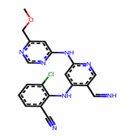 COCc1cc(Nc2cc(Nc3c(Cl)cccc3C#N)c(C=N)cn2)ncn1